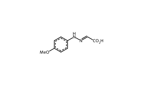 COc1ccc(N/N=C/C(=O)O)cc1